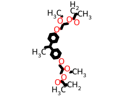 C=C(C)C(=O)OCC(COc1ccc(C(CC)c2ccc(OCC(COC(=O)C(=C)C)OCC)cc2)cc1)OCC